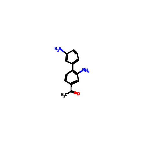 CC(=O)c1ccc(-c2cccc(N)c2)c(N)c1